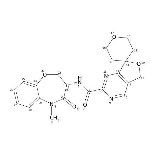 CN1C(=O)[C@@H](NC(=O)c2ncc3c(n2)C2(CCOCC2)OC3)COc2ccccc21